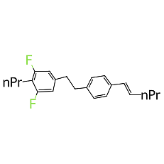 CCC/C=C/c1ccc(CCc2cc(F)c(CCC)c(F)c2)cc1